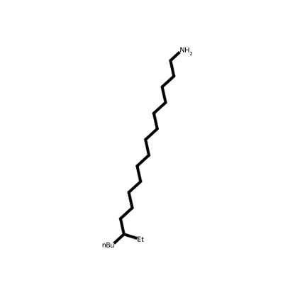 CCCCC(CC)CCCCCCCCCCCCCN